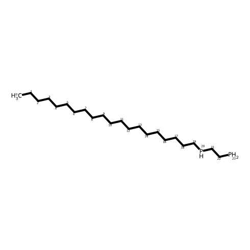 CCCCCCCCCCCCCCCCCCCCPCCP